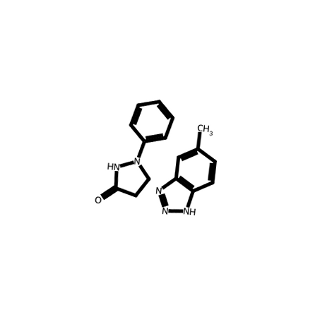 Cc1ccc2[nH]nnc2c1.O=C1CCN(c2ccccc2)N1